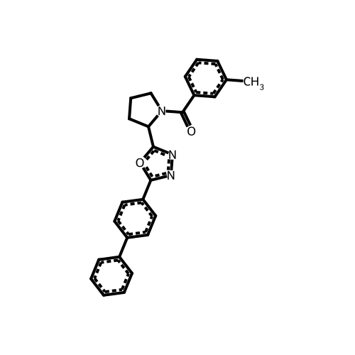 Cc1cccc(C(=O)N2CCCC2c2nnc(-c3ccc(-c4ccccc4)cc3)o2)c1